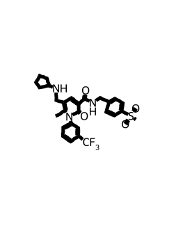 Cc1c(CNC2CCCC2)cc(C(=O)NCc2ccc(S(C)(=O)=O)cc2)c(=O)n1-c1cccc(C(F)(F)F)c1